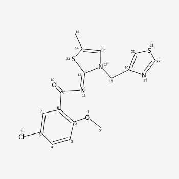 COc1ccc(Cl)cc1C(=O)N=c1sc(C)cn1Cc1cscn1